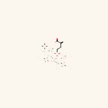 C=C(CC[Si](O[Si](C)(C)O[Si](C)(C)C)(O[Si](C)(C)O[Si](C)(C)C)O[Si](C)(C)O[Si](C)(C)C)C(=O)O